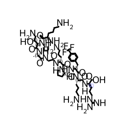 C[C@H](NC(=O)[C@@H](NC(=O)[C@@H](N)CCCCN)[C@@H](O)CN)C(=O)NCC(=O)N[C@H](CCCN)C(=O)N1CCC[C@H]1C(=O)N[C@@H](Cc1ccc(C(F)(F)F)cc1)C(=O)N[C@@H](CCCCN)C(=O)N/C(=C\CCNC(=N)N)C(=O)O